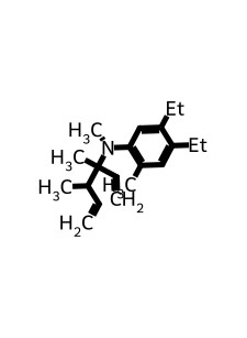 C=CC(C)C(C)(C=C)N(C)c1cc(CC)c(CC)cc1C